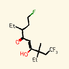 CCC(CCF)C(=O)/C=C(\O)C(C)(CC)CC(F)(F)F